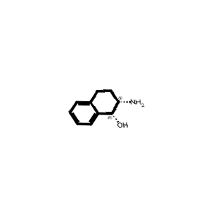 N[C@H]1CCc2ccccc2[C@H]1O